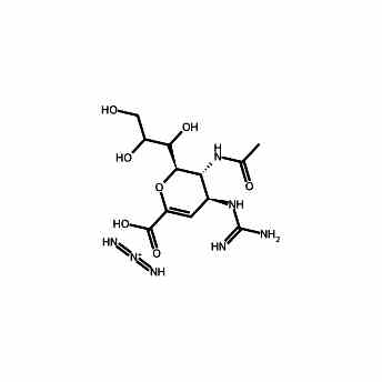 CC(=O)N[C@@H]1[C@@H](NC(=N)N)C=C(C(=O)O)O[C@H]1C(O)C(O)CO.N=[N+]=N